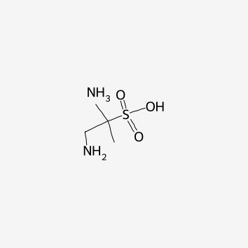 CC(C)(CN)S(=O)(=O)O.N